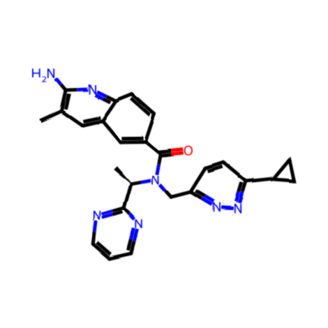 Cc1cc2cc(C(=O)N(Cc3ccc(C4CC4)nn3)[C@H](C)c3ncccn3)ccc2nc1N